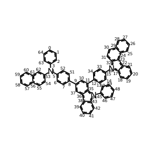 c1ccc(N(c2ccc(-c3cc(-c4ccc(-n5c6ccccc6c6c7ccccc7ccc65)cc4)c4c(c3)c3ccccc3n4-c3ccccc3)cc2)c2ccc3ccccc3c2)cc1